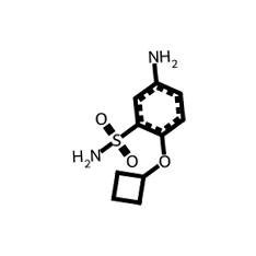 Nc1ccc(OC2CCC2)c(S(N)(=O)=O)c1